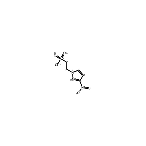 O=[N+]([O-])c1ccn(CCS(=O)(=O)Cl)n1